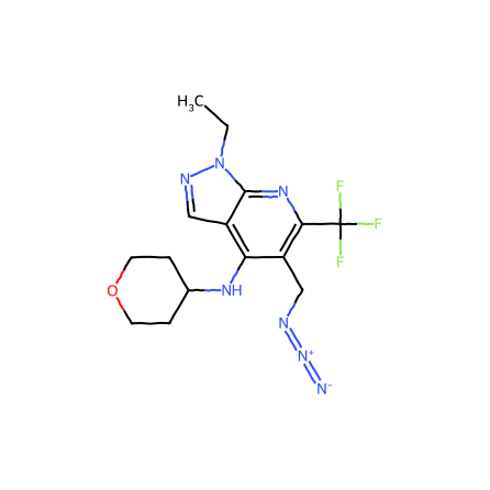 CCn1ncc2c(NC3CCOCC3)c(CN=[N+]=[N-])c(C(F)(F)F)nc21